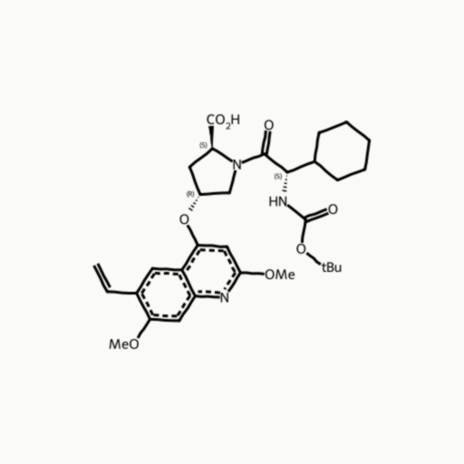 C=Cc1cc2c(O[C@@H]3C[C@@H](C(=O)O)N(C(=O)[C@@H](NC(=O)OC(C)(C)C)C4CCCCC4)C3)cc(OC)nc2cc1OC